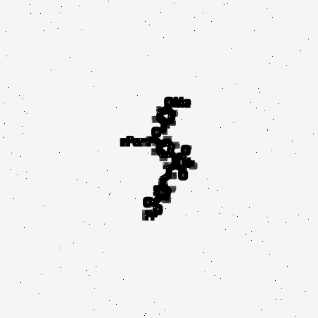 CCCCCC(OCc1ccc(OC)cc1)c1ccc(N2C(=O)N(C)C(=O)C2CCCc2ccc(C(=O)OC(C)C)s2)cc1